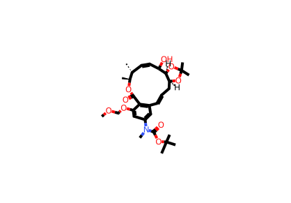 COCOc1cc(N(C)C(=O)OC(C)(C)C)cc2c1C(=O)O[C@@H](C)[C@H](C)/C=C\C(O)[C@H]1OC(C)(C)O[C@H]1C/C=C/2